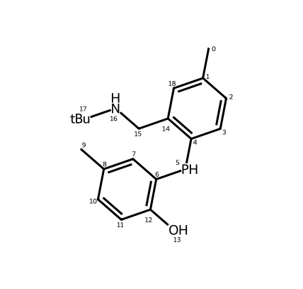 Cc1ccc(Pc2cc(C)ccc2O)c(CNC(C)(C)C)c1